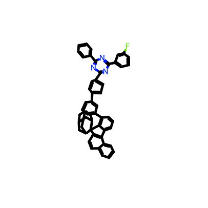 Fc1cccc(-c2nc(-c3ccccc3)nc(-c3ccc(-c4cccc(-c5cccc6c5C5(c7ccc8ccccc8c7-6)C6CC7CC(C6)CC5C7)c4)cc3)n2)c1